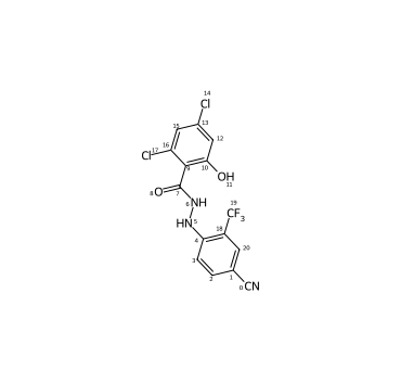 N#Cc1ccc(NNC(=O)c2c(O)cc(Cl)cc2Cl)c(C(F)(F)F)c1